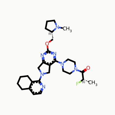 C[C@H](F)C(=O)N1CCN(c2nc(OC[C@@H]3CCCN3C)nc3c2CN(c2nccc4c2CCCC4)C3)CC1